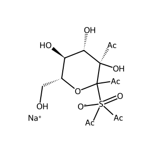 CC(=O)C1(S(=O)([O-])(C(C)=O)C(C)=O)O[C@H](CO)[C@@H](O)[C@H](O)[C@]1(O)C(C)=O.[Na+]